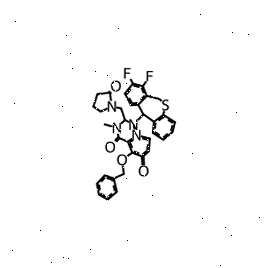 CN1C(=O)c2c(OCc3ccccc3)c(=O)ccn2N(C2c3ccccc3SCc3c2ccc(F)c3F)C1CN1CCCC1=O